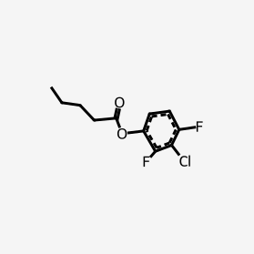 CCCCC(=O)Oc1ccc(F)c(Cl)c1F